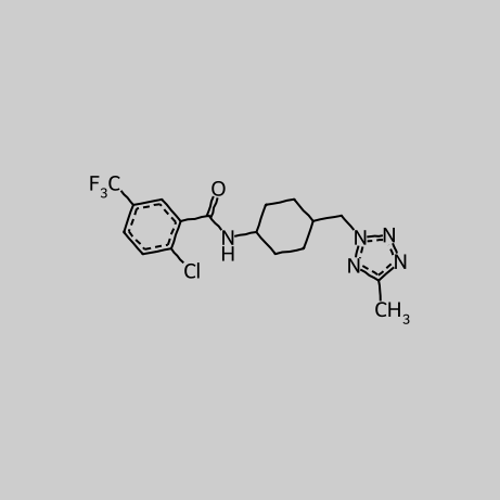 Cc1nnn(CC2CCC(NC(=O)c3cc(C(F)(F)F)ccc3Cl)CC2)n1